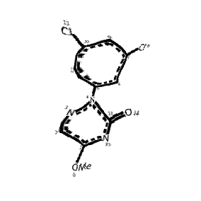 COc1cnn(-c2cc(Cl)cc(Cl)c2)c(=O)n1